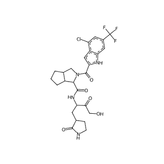 O=C1NCCC1CC(NC(=O)C1C2CCCC2CN1C(=O)c1cc2c(Cl)cc(C(F)(F)F)cc2[nH]1)C(=O)CO